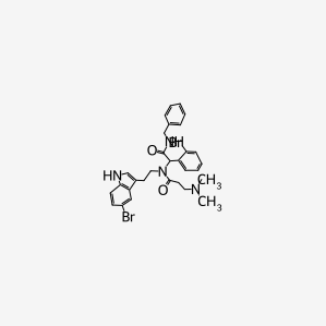 CN(C)CCC(=O)N(CCc1c[nH]c2ccc(Br)cc12)C(C(=O)NCc1ccccc1)c1ccccc1Br